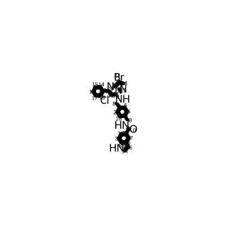 O=C(NCc1ccc(CNc2cc(-c3ccccc3Cl)nc3c(Br)cnn23)cc1)c1ccc2[nH]ccc2c1